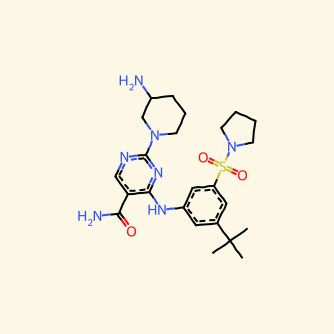 CC(C)(C)c1cc(Nc2nc(N3CCCC(N)C3)ncc2C(N)=O)cc(S(=O)(=O)N2CCCC2)c1